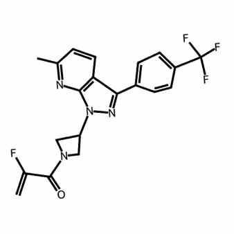 C=C(F)C(=O)N1CC(n2nc(-c3ccc(C(F)(F)F)cc3)c3ccc(C)nc32)C1